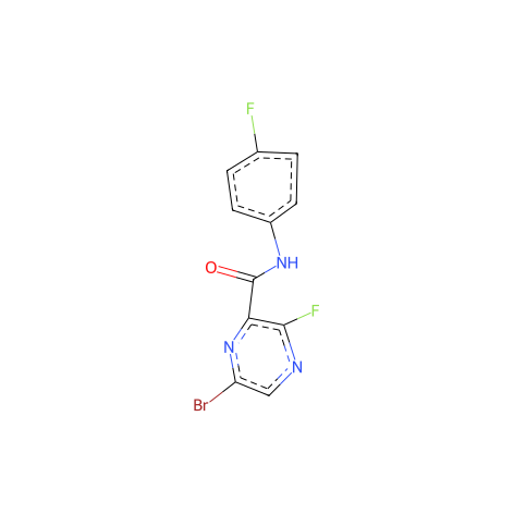 O=C(Nc1ccc(F)cc1)c1nc(Br)cnc1F